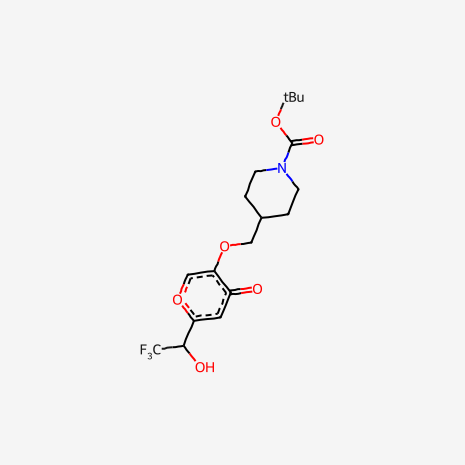 CC(C)(C)OC(=O)N1CCC(COc2coc(C(O)C(F)(F)F)cc2=O)CC1